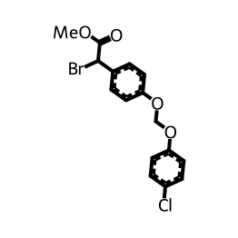 COC(=O)C(Br)c1ccc(OCOc2ccc(Cl)cc2)cc1